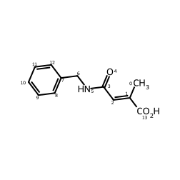 CC(=CC(=O)NCc1ccccc1)C(=O)O